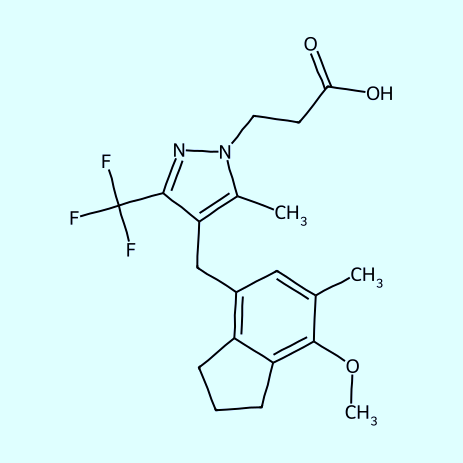 COc1c(C)cc(Cc2c(C(F)(F)F)nn(CCC(=O)O)c2C)c2c1CCC2